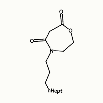 CCCCCCCCCCN1CCOC(=O)CC1=O